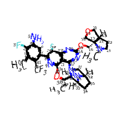 Cc1c(F)c(N)cc(-c2nc3c4c(nc(OC[C@]56COC[C@@H]5CCN6C)nc4c2F)N2C[C@H]4CC[C@H](N4)[C@H]2[C@H](C)O3)c1C(F)(F)F